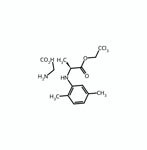 Cc1ccc(C)c(N[C@@H](C)C(=O)OCC(Cl)(Cl)Cl)c1.NCC(=O)O